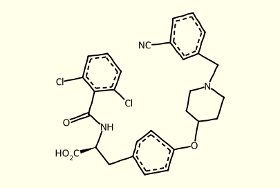 N#Cc1cccc(CN2CCC(Oc3ccc(C[C@H](NC(=O)c4c(Cl)cccc4Cl)C(=O)O)cc3)CC2)c1